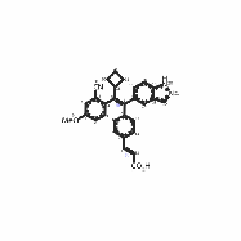 COc1ccc(/C(=C(\c2ccc(/C=C/C(=O)O)cc2)c2ccc3[nH]ncc3c2)C2CCC2)c(C#N)c1